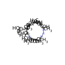 CO[C@H]1[C@@H](O)[C@H](C)C[C@H](C)/C=C/C=C/C=C(\C)[C@@H](O)C[C@@H]2CC[C@@H](C)[C@@](O)(O2)C(=O)C(=O)N2CCCC[C@H]2C(=O)O[C@H]([C@H](C)C[C@@H]2CC[C@@H](O)[C@H](OC)C2)CC(=O)[C@H](C)/C=C(\C)[C@H]1O